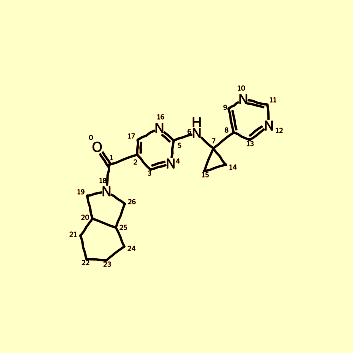 O=C(c1cnc(NC2(c3cncnc3)CC2)nc1)N1CC2CCCCC2C1